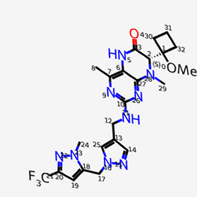 COC1([C@H]2C(=O)Nc3c(C)nc(NCc4cnn(Cc5cc(C(F)(F)F)nn5C)c4)nc3N2C)CCC1